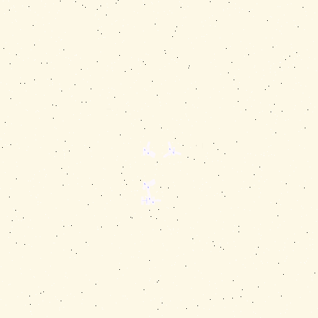 CCc1cccc2c1nc(-c1n[nH]c3ccccc13)n2CC